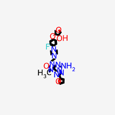 Cn1c(=O)n(CCN2CCN(c3ccc(O[C@@H]4COC[C@H]4O)cc3F)CC2)c2nc(N)n3nc(-c4ccco4)nc3c21